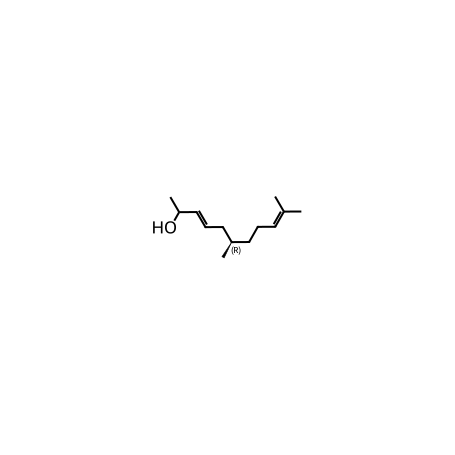 CC(C)=CCC[C@@H](C)CC=CC(C)O